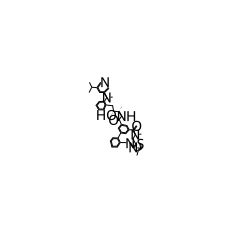 Cc1csc(CN(C)C(=O)c2cc(C(=O)N[C@@H](C)[C@H](O)Cc3ccccc3N(C)c3cncc(C(C)C)c3)cc(-c3ccccc3C#N)c2)n1